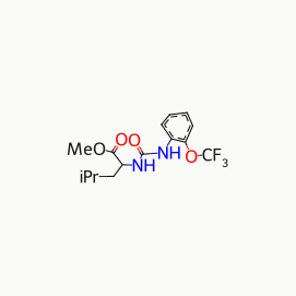 COC(=O)C(CC(C)C)NC(=O)Nc1ccccc1OC(F)(F)F